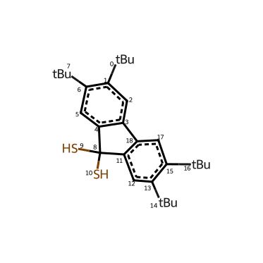 CC(C)(C)c1cc2c(cc1C(C)(C)C)C(S)(S)c1cc(C(C)(C)C)c(C(C)(C)C)cc1-2